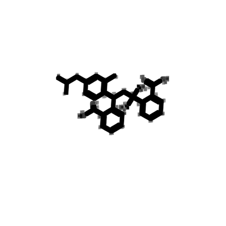 Cc1cc(CC(C)C)ccc1C(CC(N)(N)c1ccccc1C(=O)O)c1ccccc1C(=O)O